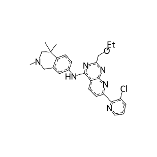 CCOCc1nc(Nc2ccc3c(c2)CN(C)CC3(C)C)c2ccc(-c3ncccc3Cl)nc2n1